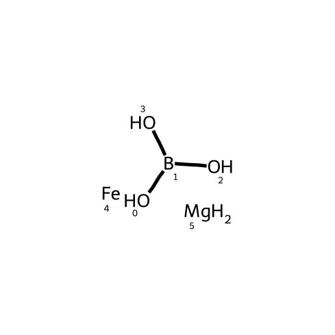 OB(O)O.[Fe].[MgH2]